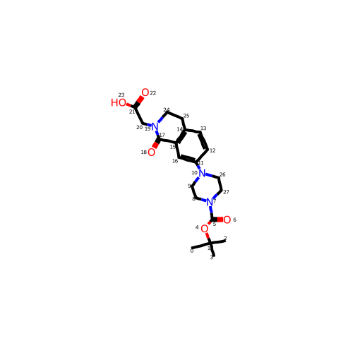 CC(C)(C)OC(=O)N1CCN(c2ccc3c(c2)C(=O)N(CC(=O)O)CC3)CC1